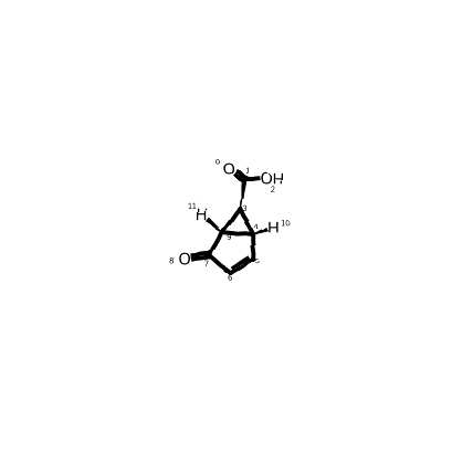 O=C(O)[C@H]1[C@@H]2C=CC(=O)[C@@H]21